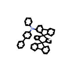 c1ccc(-c2ccc(N(c3ccccc3)c3ccc4c(c3)C3(c5ccccc5-4)c4ccccc4C4(c5ccccc5-c5ccccc54)c4ccccc43)cc2)cc1